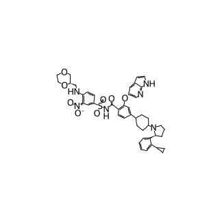 O=C(NS(=O)(=O)c1ccc(NC[C@@H]2COCCO2)c([N+](=O)[O-])c1)c1ccc(C2CCC(N3CCC[C@H]3c3ccccc3C3CC3)CC2)cc1Oc1cnc2[nH]ccc2c1